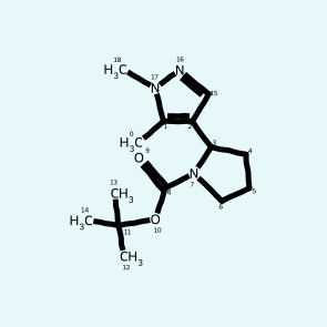 Cc1c(C2CCCN2C(=O)OC(C)(C)C)cnn1C